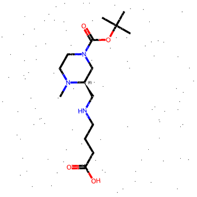 CN1CCN(C(=O)OC(C)(C)C)C[C@H]1CNCCCC(=O)O